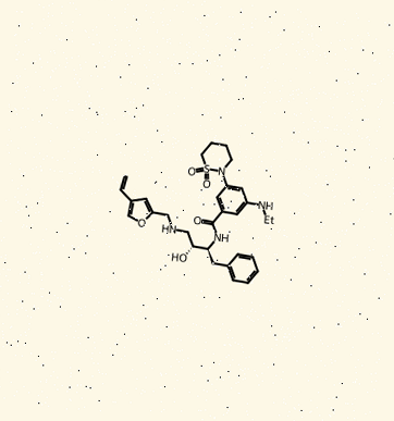 C=Cc1coc(CNC[C@@H](O)[C@H](Cc2ccccc2)NC(=O)c2cc(NCC)cc(N3CCCCS3(=O)=O)c2)c1